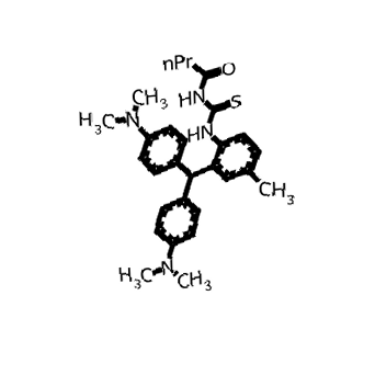 CCCC(=O)NC(=S)Nc1ccc(C)cc1C(c1ccc(N(C)C)cc1)c1ccc(N(C)C)cc1